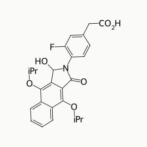 CC(C)Oc1c2c(c(OC(C)C)c3ccccc13)C(O)N(c1ccc(CC(=O)O)cc1F)C2=O